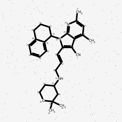 Cc1cc(C)c2c(C#N)c(C=CCNC3CCOC(C)(C)C3)n(C3CCCc4ccccc43)c2n1